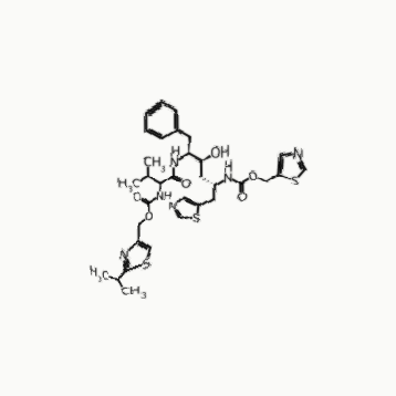 CC(C)c1nc(COC(=O)N[C@H](C(=O)N[C@@H](Cc2ccccc2)[C@@H](O)C[C@@H](Cc2cncs2)NC(=O)OCc2cncs2)C(C)C)cs1